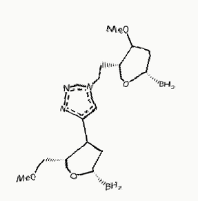 B[C@H]1CC(OC)[C@@H](Cn2cc(C3C[C@H](B)O[C@@H]3COC)nn2)O1